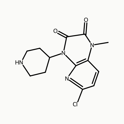 Cn1c(=O)c(=O)n(C2CCNCC2)c2nc(Cl)ccc21